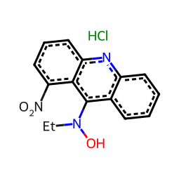 CCN(O)c1c2ccccc2nc2cccc([N+](=O)[O-])c12.Cl